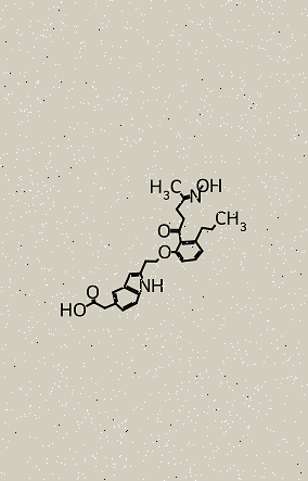 CCCc1cccc(OCCc2cc3cc(CC(=O)O)ccc3[nH]2)c1C(=O)CCC(C)=NO